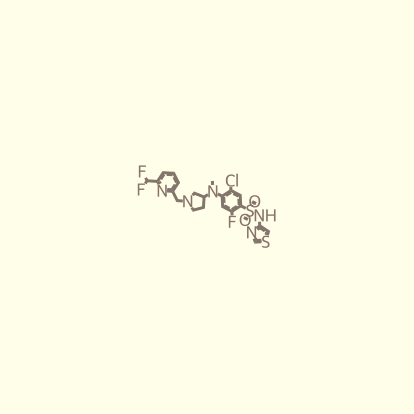 CN(c1cc(F)c(S(=O)(=O)Nc2cscn2)cc1Cl)C1CCN(Cc2cccc(C(F)F)n2)C1